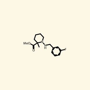 COC(=O)C1(C)CCCCN1NCc1cccc(F)c1